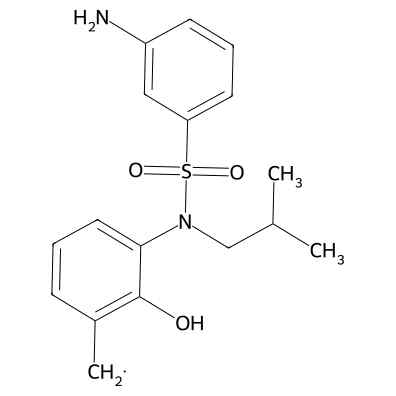 [CH2]c1cccc(N(CC(C)C)S(=O)(=O)c2cccc(N)c2)c1O